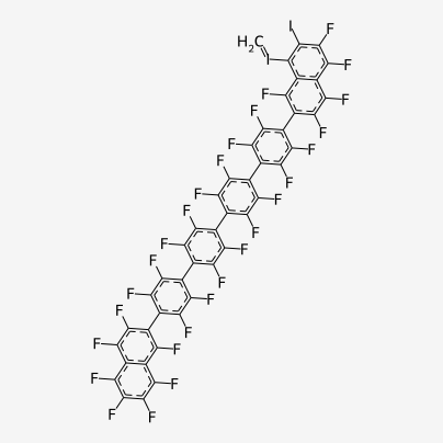 C=Ic1c(I)c(F)c(F)c2c(F)c(F)c(-c3c(F)c(F)c(-c4c(F)c(F)c(-c5c(F)c(F)c(-c6c(F)c(F)c(-c7c(F)c(F)c8c(F)c(F)c(F)c(F)c8c7F)c(F)c6F)c(F)c5F)c(F)c4F)c(F)c3F)c(F)c12